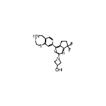 OC1CN(c2nc(-c3ccc4c(c3)SCCNC4)c3c(n2)C(F)(F)CC3)C1